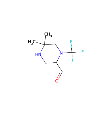 CC1(C)CN(C(F)(F)F)C(C=O)CN1